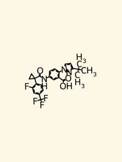 CC(C)(C)c1ccn(-c2ccc(NC(=O)C3(c4ccc(C(F)(F)F)cc4F)CC3)cc2C(=O)O)n1